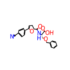 N#Cc1ccc(C2=CCC(C(=O)N[C@@H](COCc3ccccc3)C(=O)O)O2)cc1